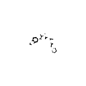 CC(OC(=O)CN1CCCC1)OC(=O)N(C)C(C)C(=O)c1ccc2c(c1)OCO2